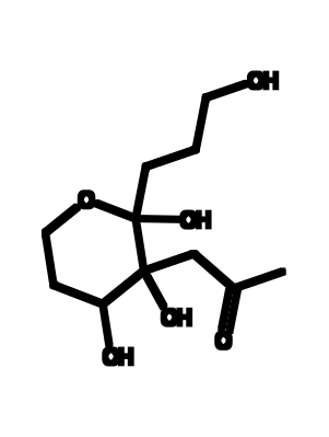 CC(=O)CC1(O)C(O)CCOC1(O)CCCO